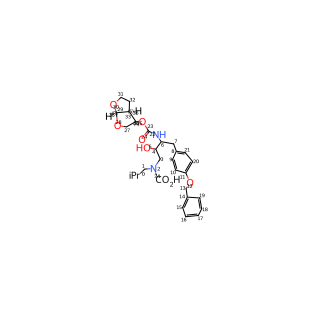 CC(C)CN(CC(O)C(Cc1ccc(OCc2ccccc2)cc1)NC(=O)O[C@H]1CO[C@H]2OCC[C@H]21)C(=O)O